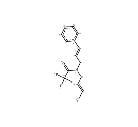 O=C(N(CC=CCl)C/C=C/c1ccccc1)C(F)(F)F